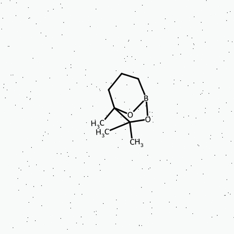 CC1(C)OB2CCCC1(C)O2